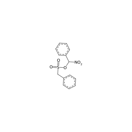 O=[N+]([O-])C(OS(=O)(=O)Cc1ccccc1)c1ccccc1